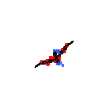 CCCCCCCOC1CCC(C(=O)Oc2ccc(/C=C/C(=O)CC(Cc3ccc(N)cc3)(Cc3ccc(N)cc3)C(O)(O)C(=O)/C=C/c3ccc(OC(=O)C4CCC(OCCCCCCC)CC4)cc3)cc2)CC1